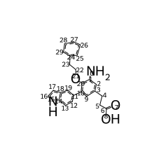 Nc1cc(CCC(=O)O)cc(-c2ccc3[nH]ccc3c2)c1OCCc1ccccc1